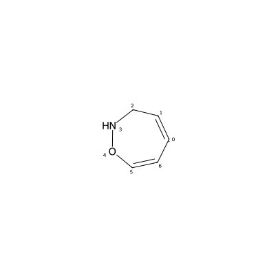 [C]1=CCNOC=C1